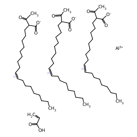 C=CC(=O)O.CCCCCCCC/C=C\CCCCCCCCC(C(C)=O)C(=O)[O-].CCCCCCCC/C=C\CCCCCCCCC(C(C)=O)C(=O)[O-].CCCCCCCC/C=C\CCCCCCCCC(C(C)=O)C(=O)[O-].[Al+3]